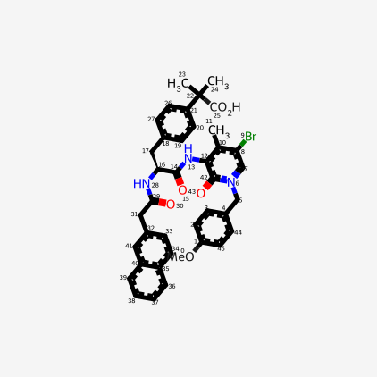 COc1ccc(Cn2cc(Br)c(C)c(NC(=O)[C@H](Cc3ccc(C(C)(C)C(=O)O)cc3)NC(=O)Cc3ccc4ccccc4c3)c2=O)cc1